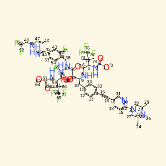 COC(=O)NC(C(=O)N[C@@H](Cc1ccc(C#Cc2ccc(N3CC(C)N(C)C(C)C3)nc2)cc1)[C@@H](O)CN(Cc1c(F)cc(C(=N)/C=C\NCC(F)F)cc1F)NC(=O)[C@@H](NC(=O)OC)C(C)(C)C(F)(F)F)C(C)(C)C(F)(F)F